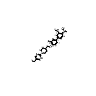 CCc1cnc(N2CCC(COc3ccc(-c4ccc([S@+](C)[O-])c(OC)c4)cc3F)CC2)nc1